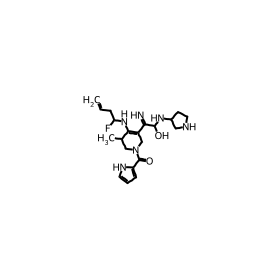 C=CCC(F)NC1=C(C(=N)C(O)NC2CCNC2)CN(C(=O)c2ccc[nH]2)CC1C